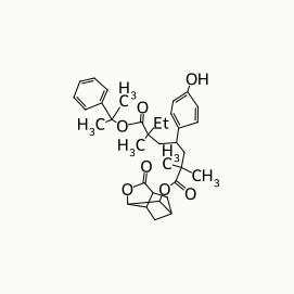 CCC(C)(CC(CC(C)(C)C(=O)OC1C2CC3C(=O)OC1C3C2)c1ccc(O)cc1)C(=O)OC(C)(C)c1ccccc1